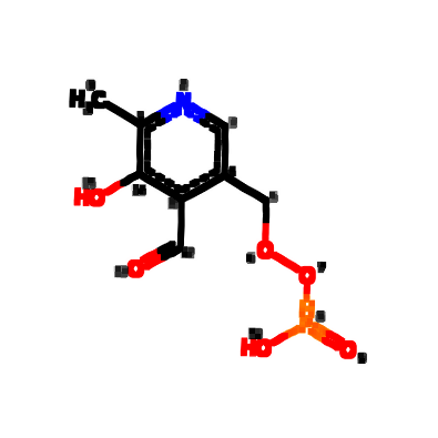 Cc1ncc(COO[PH](=O)O)c(C=O)c1O